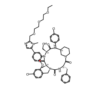 CCOCCOCCOCc1ncc(-c2ccc(Oc3cc(Cl)ccc3CN3C(=O)N[C@@H](Cc4ccccc4)C(=O)N4CCC[C@@](Cc5ccc(Cl)cc5)(C4)NC(=O)[C@H](CO)NC(=O)[C@@H]3C)cc2)n1C